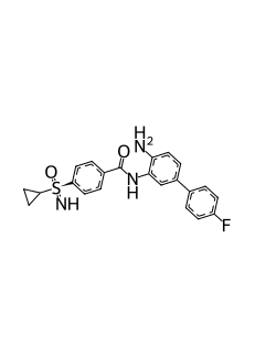 N=[S@](=O)(c1ccc(C(=O)Nc2cc(-c3ccc(F)cc3)ccc2N)cc1)C1CC1